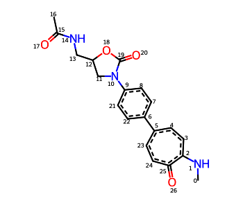 CNc1ccc(-c2ccc(N3CC(CNC(C)=O)OC3=O)cc2)ccc1=O